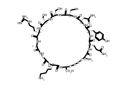 CC(C)C[C@@H]1NC(=O)[C@H](CC(N)=O)NC(=O)[C@H](Cc2ccc(O)cc2)NC(=O)[C@H](CCC(N)=O)NC(=O)[C@@H](N)CSSCC(C(=O)O)NC(=O)[C@H](CCCCN)NC(=O)CNC(=O)[C@H](C)NC(=O)[C@H](CCCNC(=N)N)NC(=O)[C@H](CO)NC(=O)[C@H](CO)NC1=O